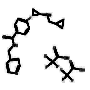 O=C(NCc1ccncc1)c1ccc([C@@H]2C[C@H]2NCC2CC2)cc1.O=C(O)C(F)(F)F.O=C(O)C(F)(F)F